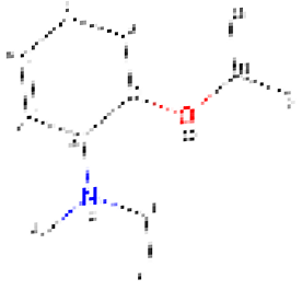 CCN(C)C1C=CCCC1OC(C)C